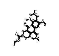 CCOC(=O)N1CCC(/C(=C\N(C)C)c2cc(OC)c(CN(C)C)c(OC)c2)=C(C=O)C1